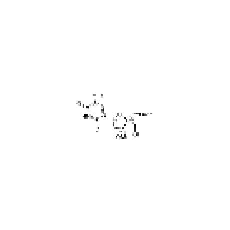 COC[C@@]1(CO)O[C@@H](n2cc(C)c(=O)[nH]c2=O)C[C@H]1OC